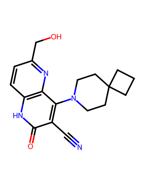 N#Cc1c(N2CCC3(CCC3)CC2)c2nc(CO)ccc2[nH]c1=O